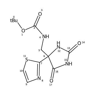 CC(C)(C)OC(=O)NCC1(c2nccs2)NC(=O)NC1=O